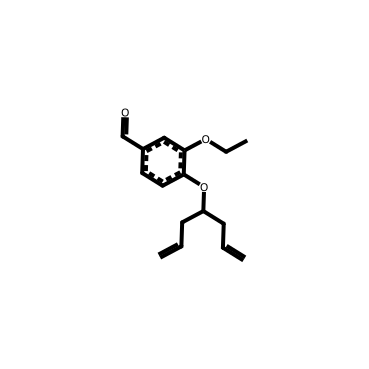 C=CCC(CC=C)Oc1ccc(C=O)cc1OCC